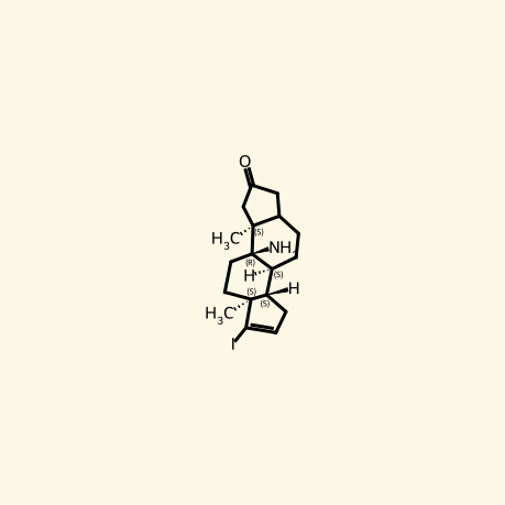 C[C@]12CC(=O)CC1CC[C@H]1[C@@H]3CC=C(I)[C@@]3(C)CC[C@@]12N